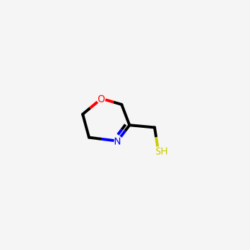 SCC1=NCCOC1